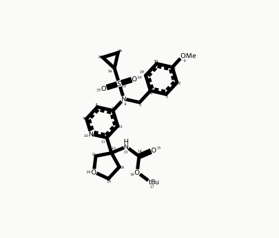 COc1ccc(CN(c2ccnc(C3(NC(=O)OC(C)(C)C)CCOC3)c2)S(=O)(=O)C2CC2)cc1